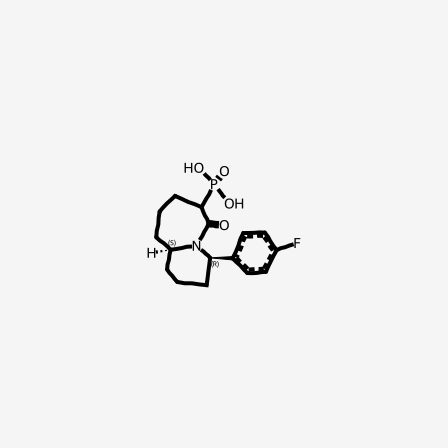 O=C1C(P(=O)(O)O)CCC[C@@H]2CCC[C@H](c3ccc(F)cc3)N12